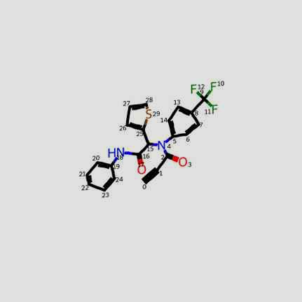 C#CC(=O)N(c1ccc(C(F)(F)F)cc1)C(C(=O)Nc1ccccc1)c1cccs1